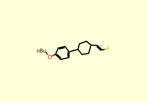 CCCCOc1ccc(C2CCC(/C=C/F)CC2)cc1